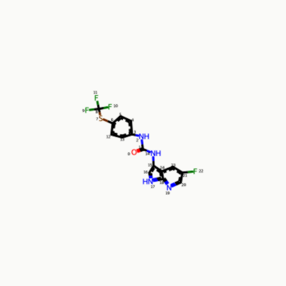 O=C(Nc1ccc(SC(F)(F)F)cc1)Nc1c[nH]c2ncc(F)cc12